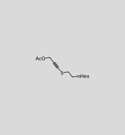 CCCCCCCCSC#CCOC(C)=O